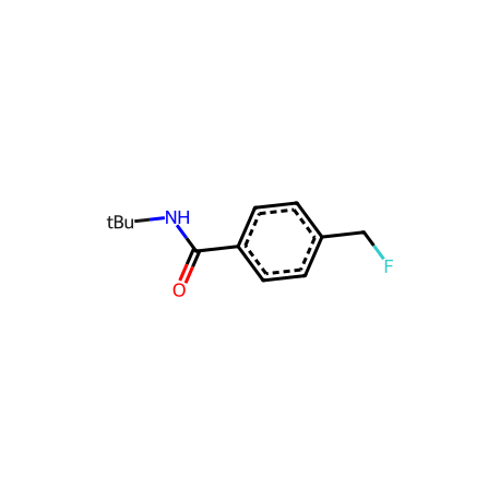 CC(C)(C)NC(=O)c1ccc(CF)cc1